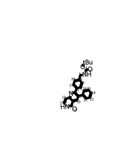 CC(C)(C)OC(=O)NCc1ccc(-c2nc3cc[nH]c(=O)c3cc2-c2ccccc2)cc1